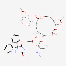 CO[C@H]1C[C@H](O[C@H]2[C@H](C)[C@@H](O[C@@H]3O[C@H](C)C[C@H](N(C)C)[C@H]3OC(C)=O)[C@@H](C)C[C@]3(CO3)C(=O)[C@H](C)[C@@H](OC(C)=O)[C@@H](C)[C@@H](C)OC(=O)[C@@H]2C)O[C@@H](C)[C@@H]1OC(C)=O.O=C1NC(=O)C(c2ccccc2)(c2ccccc2)N1